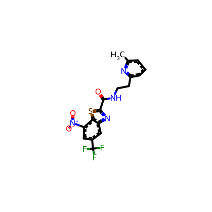 Cc1cccc(CCNC(=O)c2nc3cc(C(F)(F)F)cc([N+](=O)[O-])c3s2)n1